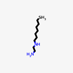 NCCNCCCCCCC[SiH3]